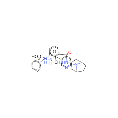 Cc1c(NC(=O)O)cccc1C(=O)NC1CC2CCC(C1)N2c1ccc(C(=O)NCc2ccccc2)cn1